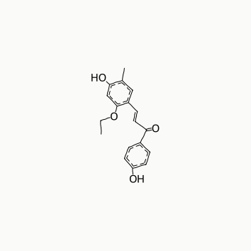 CCOc1cc(O)c(C)cc1C=CC(=O)c1ccc(O)cc1